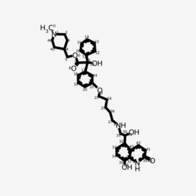 CN1CCC(COC(=O)C(O)(c2ccccc2)c2cccc(OCCCCCNCC(O)c3ccc(O)c4[nH]c(=O)ccc34)c2)CC1